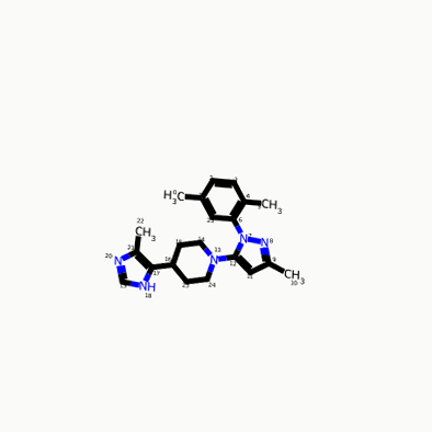 Cc1ccc(C)c(-n2nc(C)cc2N2CCC(c3[nH]cnc3C)CC2)c1